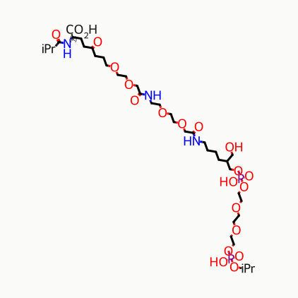 CC(C)OP(=O)(O)OCCOCCOCCOP(=O)(O)OCC(CO)CCCCNC(=O)COCCOCCNC(=O)COCCOCCCC(=O)CC[C@@H](NC(=O)C(C)C)C(=O)O